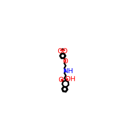 O=C1Cc2ccccc2CCC1(O)CCCNCCCOc1ccc2c(c1)OCO2